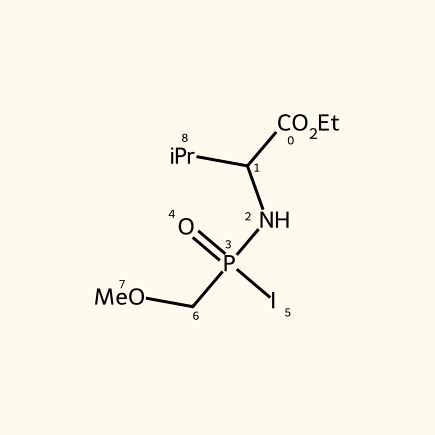 CCOC(=O)C(NP(=O)(I)COC)C(C)C